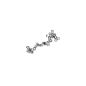 O=C(COc1ccc(-c2ccc3n2[B-](F)(F)[N+]2=C(c4cccs4)C=CC2=C3)cc1)NCCCn1cc(CNc2cccc(C(=O)NC3(C(F)(F)F)C(=O)Nc4nc5cc(Cl)c(Cl)cc5n43)n2)nn1